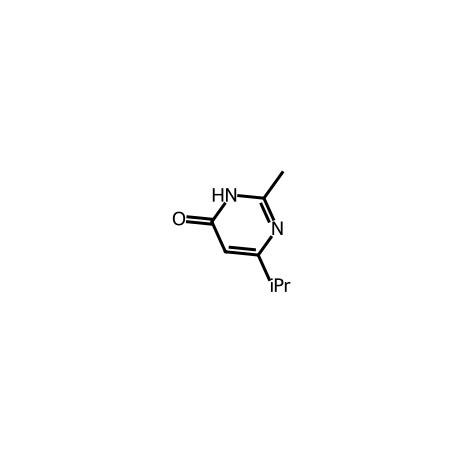 Cc1nc(C(C)C)cc(=O)[nH]1